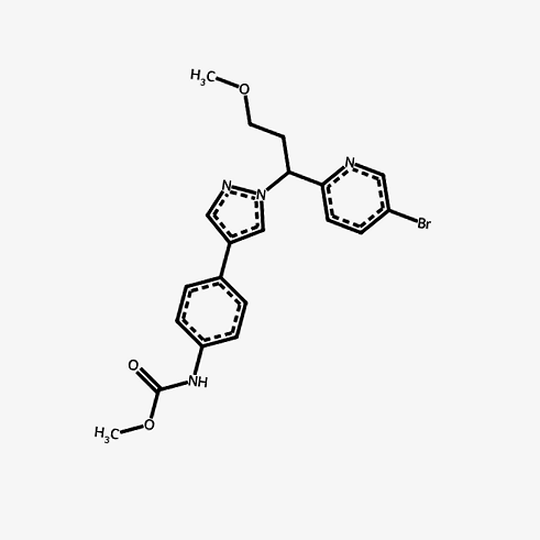 COCCC(c1ccc(Br)cn1)n1cc(-c2ccc(NC(=O)OC)cc2)cn1